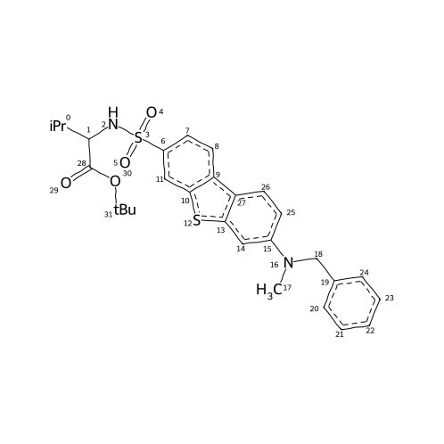 CC(C)C(NS(=O)(=O)c1ccc2c(c1)sc1cc(N(C)Cc3ccccc3)ccc12)C(=O)OC(C)(C)C